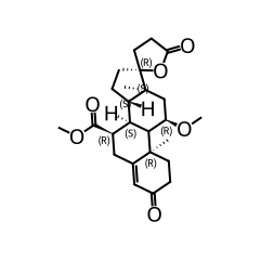 COC(=O)[C@@H]1CC2=CC(=O)CC[C@]2(C)C2[C@@H]1[C@@H]1CC[C@@]3(CCC(=O)O3)[C@@]1(C)C[C@H]2OC